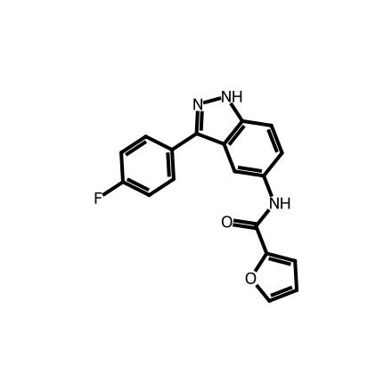 O=C(Nc1ccc2[nH]nc(-c3ccc(F)cc3)c2c1)c1ccco1